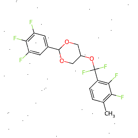 Cc1ccc(C(F)(F)OC2COC(c3cc(F)c(F)c(F)c3)OC2)c(F)c1F